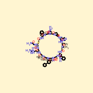 CCCCC1C(=O)N(C)[C@@H](CCCC)C(=O)N[C@@H](CCCNC(=N)N)C(=O)N[C@H](C(=O)NCC(N)=O)CSCC(=O)N[C@@H](Cc2ccccc2)C(=O)N(C)[C@@H](C)C(=O)N[C@@H](CC(N)=O)C(=O)N2CCC[C@H]2C(=O)N[C@@H](Cc2cnc[nH]2)C(=O)N[C@@H](CC(C)C)C(=O)N(C)CC(=O)N[C@@H](Cc2c[nH]c3ccccc23)C(=O)N[C@@H](CO)C(=O)N[C@@H](Cc2ccc(-c3ccccc3)cc2)C(=O)N1C